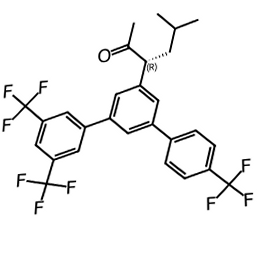 CC(=O)[C@H](CC(C)C)c1cc(-c2ccc(C(F)(F)F)cc2)cc(-c2cc(C(F)(F)F)cc(C(F)(F)F)c2)c1